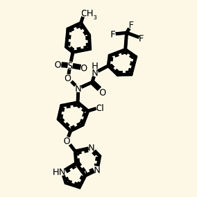 Cc1ccc(S(=O)(=O)ON(C(=O)Nc2cccc(C(F)(F)F)c2)c2ccc(Oc3ncnc4cc[nH]c34)cc2Cl)cc1